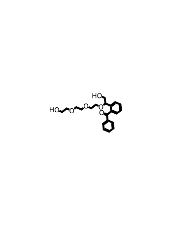 O=C(c1ccccc1)c1ccccc1C(CO)OCCOCCOCCO